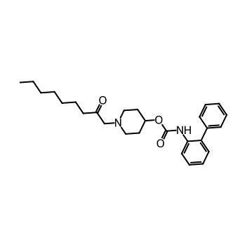 CCCCCCCC(=O)CN1CCC(OC(=O)Nc2ccccc2-c2ccccc2)CC1